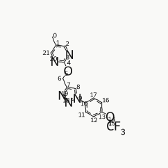 Cc1cnc(OCc2cn(-c3ccc(OC(F)(F)F)cc3)nn2)nc1